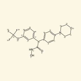 O=C(NO)C(c1ccc(N2CCOCC2)cc1)c1cccc(OC(F)(F)F)c1